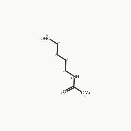 COC(=O)NCCCC[C]=O